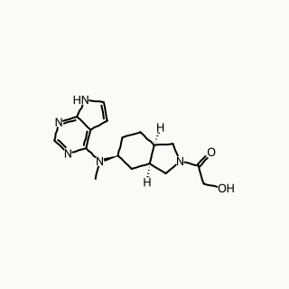 CN(c1ncnc2[nH]ccc12)[C@H]1CC[C@H]2CN(C(=O)CO)C[C@H]2C1